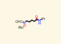 CC(C)NC(=O)CCCCN(C=O)OC(C)(C)C